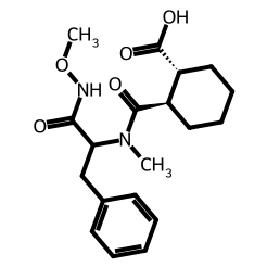 CONC(=O)C(Cc1ccccc1)N(C)C(=O)[C@@H]1CCCC[C@H]1C(=O)O